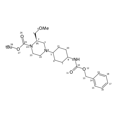 COC[C@H]1CN(C2CCC(NC(=O)OCc3ccccc3)CC2)CCN1C(=O)OC(C)(C)C